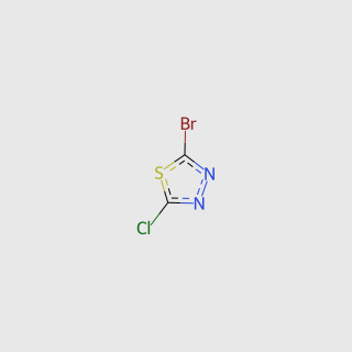 Clc1nnc(Br)s1